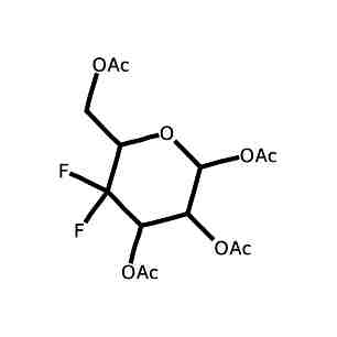 CC(=O)OCC1OC(OC(C)=O)C(OC(C)=O)C(OC(C)=O)C1(F)F